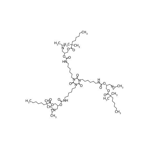 CCCCCCC(C)(C)C(=O)OCC(CN1CC1C)OC(=O)NCCCCCCn1c(=O)n(CCCCCCNC(=O)OC(COC(=O)C(C)(C)CCCCCC)CN2CC2C)c(=O)n(CCCCCCNC(=O)OC(COC(=O)C(C)(C)CCCCCC)CN2CC2C)c1=O